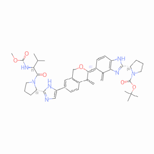 C=C1/C(=c2/ccc3[nH]c([C@@H]4CCCN4C(=O)OC(C)(C)C)nc3c2=C)OCc2cc(-c3cnc([C@@H]4CCCN4C(=O)[C@@H](NC(=O)OC)C(C)C)[nH]3)ccc21